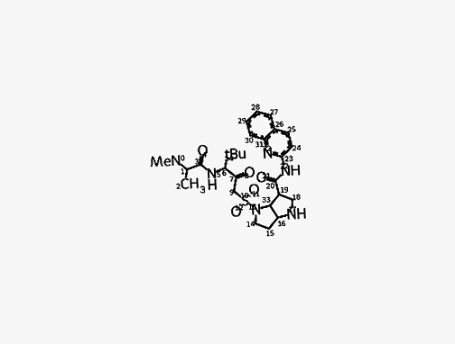 CNC(C)C(=O)NC(C(=O)CS(=O)(=O)N1CCC2NCC(C(=O)Nc3ccc4ccccc4n3)C21)C(C)(C)C